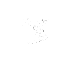 C#Cc1cccc2cc(OCOC)cc(-c3ncc4c(N5CC6C=C(C#N)C(C5)N6)nc(OCC56CCCN5CCC6)nc4c3F)c12